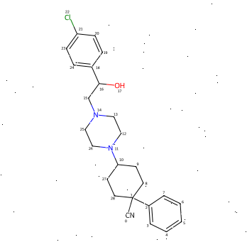 N#CC1(c2ccccc2)CCC(N2CCN(CC(O)c3ccc(Cl)cc3)CC2)CC1